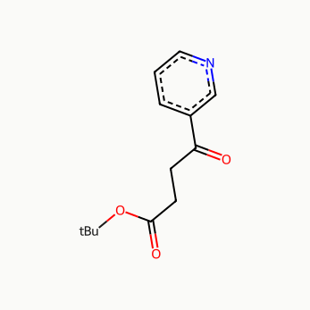 CC(C)(C)OC(=O)CCC(=O)c1cccnc1